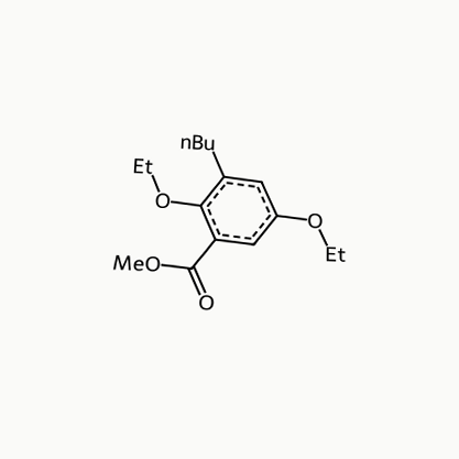 CCCCc1cc(OCC)cc(C(=O)OC)c1OCC